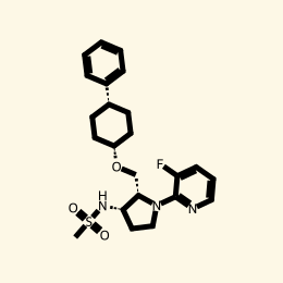 CS(=O)(=O)N[C@H]1CCN(c2ncccc2F)[C@H]1CO[C@H]1CC[C@@H](c2ccccc2)CC1